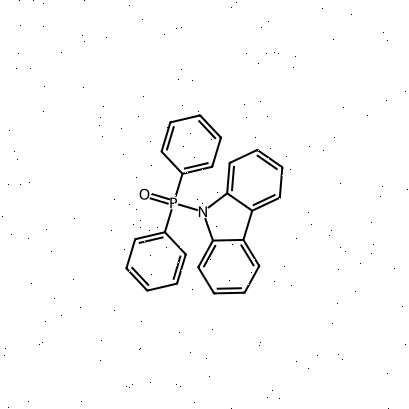 O=P(c1ccccc1)(c1ccccc1)n1c2ccccc2c2ccccc21